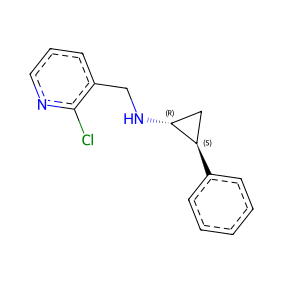 Clc1ncccc1CN[C@@H]1C[C@H]1c1ccccc1